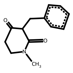 CN1CCC(=O)C(Cc2ccccc2)C1=O